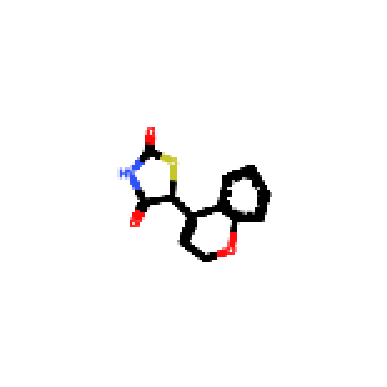 O=C1NC(=O)C(C2=CCOc3ccccc32)S1